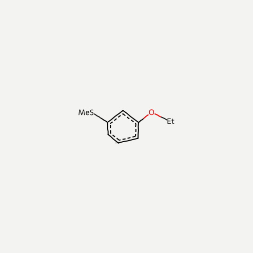 CCOc1c[c]cc(SC)c1